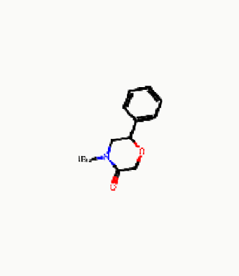 CC(C)(C)N1CC(c2ccccc2)OCC1=O